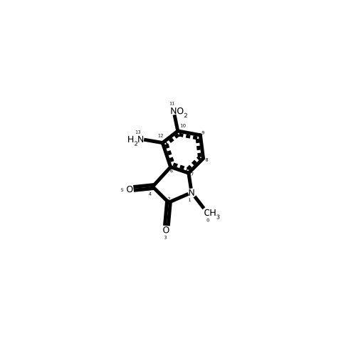 CN1C(=O)C(=O)c2c1ccc([N+](=O)[O-])c2N